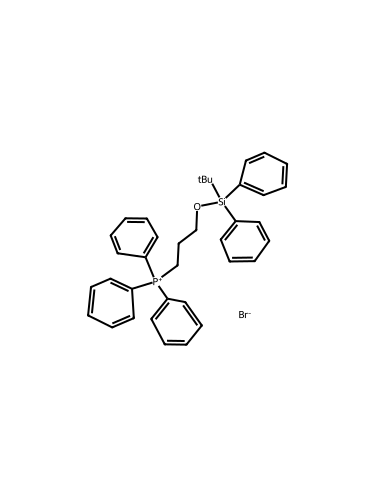 CC(C)(C)[Si](OCCC[P+](c1ccccc1)(c1ccccc1)c1ccccc1)(c1ccccc1)c1ccccc1.[Br-]